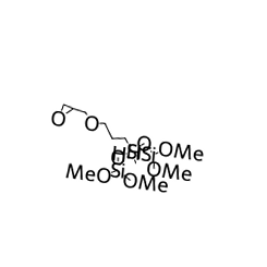 CO[SiH](OC)O[Si](C)(CCCOCC1CO1)O[SiH](OC)OC